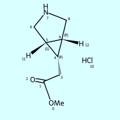 COC(=O)C[C@@H]1[C@@H]2CNC[C@@H]21.Cl